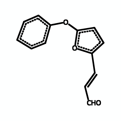 O=CC=Cc1ccc(Oc2ccccc2)o1